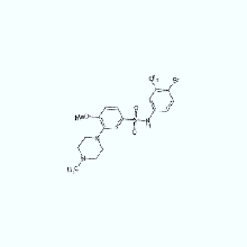 COc1ccc(S(=O)(=O)Nc2ccc(Br)c(C(F)(F)F)c2)cc1N1CCN(C)CC1